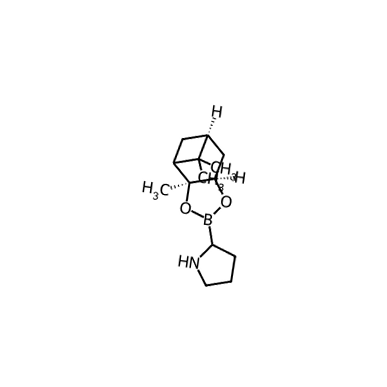 CC1(C)C2C[C@H]1C[C@H]1OB(C3CCCN3)O[C@@]21C